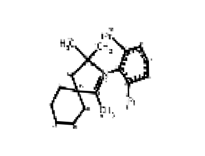 CC1=[N+](c2c(C(C)C)cccc2C(C)C)C(C)(C)CC12CCCCC2